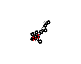 C(=C(\c1cc(-c2ccccc2)nc(-c2ccccc2)n1)c1ccccc1C1(c2ccccc2)c2ccccc2-c2ccccc21)/c1ccc2sc3c(-c4ccc5oc6ccccc6c5c4)cccc3c2c1